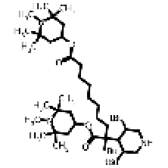 CCCCC(CCCCCCCC(=O)OC1CC(C)(C)N(C)C(C)(C)C1)(C(=O)OC1CC(C)(C)N(C)C(C)(C)C1)C1C(C(C)(C)C)CNCC1C(C)(C)C